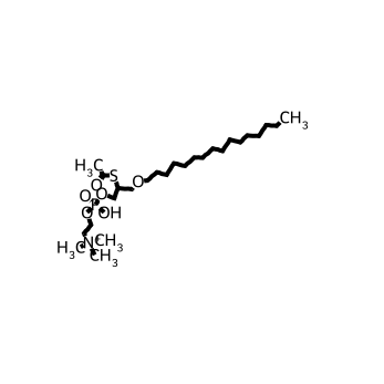 CCCCCCCCCCCCCCCCOCC(COP(=O)(O)OCC[N+](C)(C)C)SC(C)=O